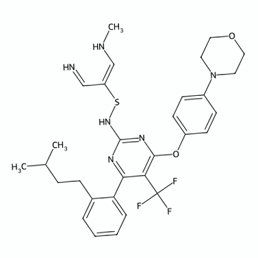 CN/C=C(\C=N)SNc1nc(Oc2ccc(N3CCOCC3)cc2)c(C(F)(F)F)c(-c2ccccc2CCC(C)C)n1